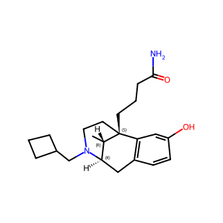 C[C@H]1[C@H]2Cc3ccc(O)cc3[C@@]1(CCCC(N)=O)CCN2CC1CCC1